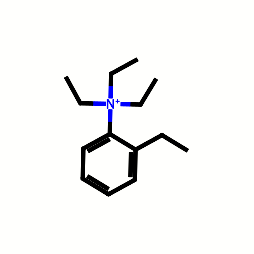 CCc1ccccc1[N+](CC)(CC)CC